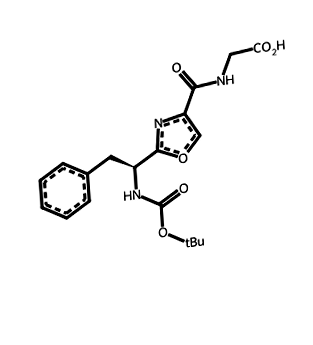 CC(C)(C)OC(=O)N[C@@H](Cc1ccccc1)c1nc(C(=O)NCC(=O)O)co1